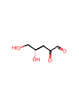 O=CC(=O)C[C@H](O)CO